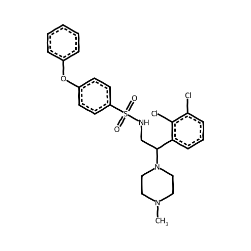 CN1CCN(C(CNS(=O)(=O)c2ccc(Oc3ccccc3)cc2)c2cccc(Cl)c2Cl)CC1